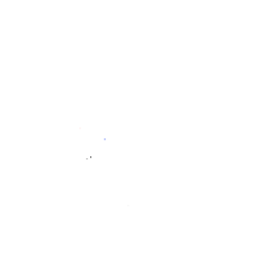 C=CCCCCCN[C@H](C(=O)N1C[C@H](Oc2cc(-c3ccccc3)nc3cc(OC)c(C=C)cc23)C[C@H]1C(=O)OC)C1CCCCC1